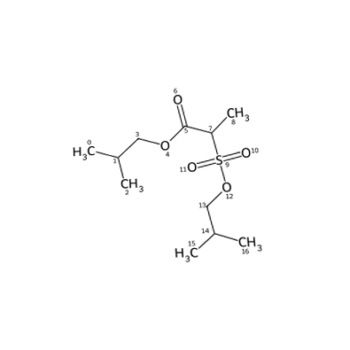 CC(C)COC(=O)C(C)S(=O)(=O)OCC(C)C